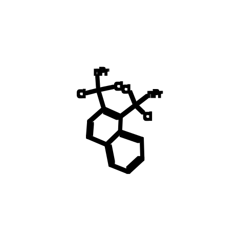 CCCC(Cl)(Cl)c1ccc2ccccc2c1C(Cl)(Cl)CCC